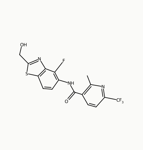 Cc1nc(C(F)(F)F)ccc1C(=O)Nc1ccc2sc(CO)nc2c1F